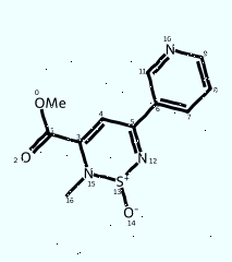 COC(=O)C1=CC(c2cccnc2)=N[S+]([O-])N1C